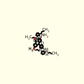 CCCCNc1cccc(C(N)CCC)c1/N=c1\ccc2c(-c3cc(C)ccc3C(=O)OC)c3ccc(Nc4c(NCCCC)cccc4NCCCC)cc3oc-2c1